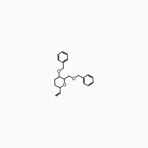 C=CC1CCC(OCc2ccccc2)C(COCc2ccccc2)O1